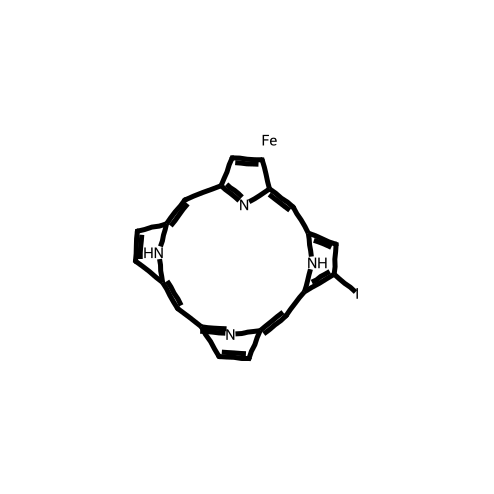 Ic1cc2cc3nc(cc4ccc(cc5nc(cc1[nH]2)C=C5)[nH]4)C=C3.[Fe]